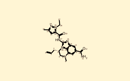 C=CC[C@H]1CN(C)c2cc(C(N)=O)cc3nc(NC(=O)c4cc(C)nn4CC)n1c23